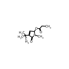 CCC(=O)OC1C=C(C(C)(C)C)C(=O)N1C